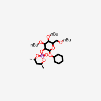 CCCCOCC1OC(OC2CCCCC2)C(OP2(=O)O[C@@H](C)C[C@H](C)O2)C(OCCCC)C1OCCCC